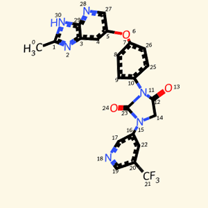 Cc1nc2cc(Oc3ccc(N4C(=O)CN(c5cncc(C(F)(F)F)c5)C4=O)cc3)cnc2[nH]1